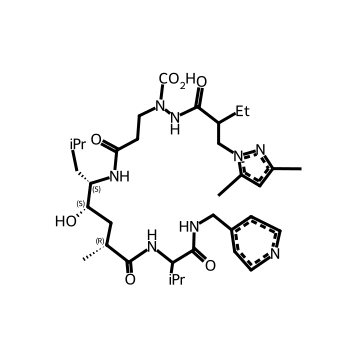 CCC(Cn1nc(C)cc1C)C(=O)NN(CCC(=O)N[C@@H](CC(C)C)[C@@H](O)C[C@@H](C)C(=O)NC(C(=O)NCc1ccncc1)C(C)C)C(=O)O